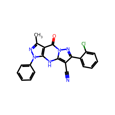 Cc1nn(-c2ccccc2)c2[nH]c3c(C#N)c(-c4ccccc4Cl)nn3c(=O)c12